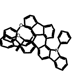 C=C1/C=C(c2ccc3c4ccccc4n(-c4ccccc4)c3c2-c2cccc3c4ccccc4n(-c4cccc5c4oc4ccccc45)c23)\C=C/COc2ccccc21